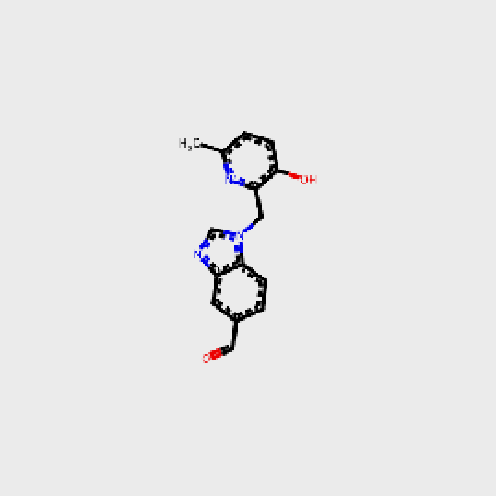 Cc1ccc(O)c(Cn2cnc3cc(C=O)ccc32)n1